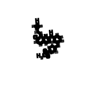 CS(=O)(=O)N1CCN(Cc2cccc(Nc3ncc4ccc(=O)n(CCC5CNC5)c4n3)c2)CC1